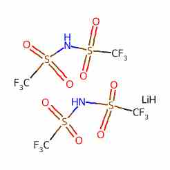 O=S(=O)(NS(=O)(=O)C(F)(F)F)C(F)(F)F.O=S(=O)(NS(=O)(=O)C(F)(F)F)C(F)(F)F.[LiH]